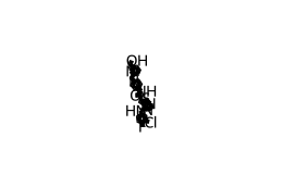 O=C(NC1CCN(Cc2cccc(CO)n2)CC1)c1cc2c(Nc3ccc(F)c(Cl)c3)ncnc2s1